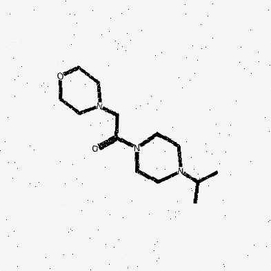 CC(C)N1CCN(C(=O)CN2CCOCC2)CC1